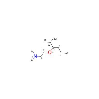 CCC[C@@H](OCCN(C)C)C(C)C